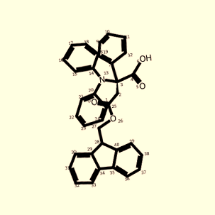 O=C(C[C@](C(=O)O)(c1ccccc1)N(c1ccccc1)c1ccccc1)OCC1c2ccccc2-c2ccccc21